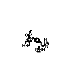 CCOC(=O)C1CC2(CCNCC2)CN1Cc1ccc(CN(Cc2ncc[nH]2)Cc2ncc[nH]2)cc1